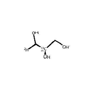 [2H]C(O)[13C@H](O)CO